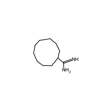 N=C(N)C1CCCCCCCCC1